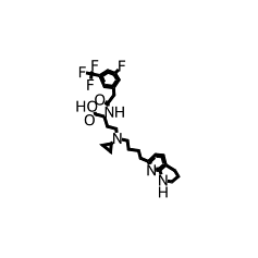 O=C(Cc1cc(F)cc(C(F)(F)F)c1)NC(CCN(CCCCc1ccc2c(n1)NCCC2)C1CC1)C(=O)O